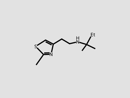 CCC(C)(C)NCCc1csc(C)n1